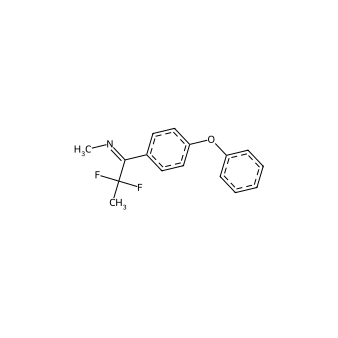 C/N=C(/c1ccc(Oc2ccccc2)cc1)C(C)(F)F